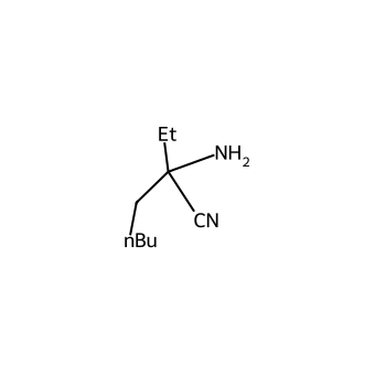 CCCCCC(N)(C#N)CC